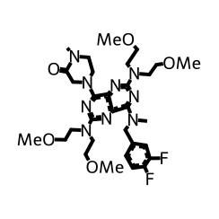 COCCN(CCOC)c1nc(N2CCN(C)C(=O)C2)c2nc(N(CCOC)CCOC)nc(N(C)Cc3ccc(F)c(F)c3)c2n1